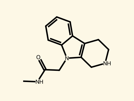 CNC(=O)Cn1c2c(c3ccccc31)CCNC2